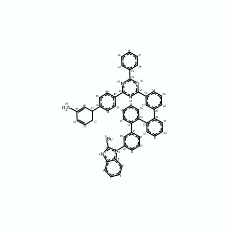 CC(C)(C)c1nc2ccccc2n1-c1cccc(-c2ccccc2-c2ccccc2-c2cccc(-c3nc(-c4ccccc4)nc(-c4ccc(C5C=C(N)C=CC5)cc4)n3)c2)c1